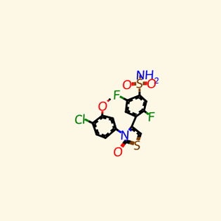 COc1cc(-n2c(-c3cc(F)c(S(N)(=O)=O)cc3F)csc2=O)ccc1Cl